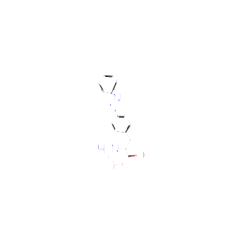 NC(Cc1ccc(N=Nc2ccccc2)cc1)C(=O)O